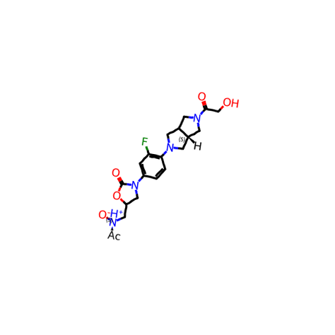 CC(=O)[N@@H+]([O-])CC1CN(c2ccc(N3CC4CN(C(=O)CO)C[C@@H]4C3)c(F)c2)C(=O)O1